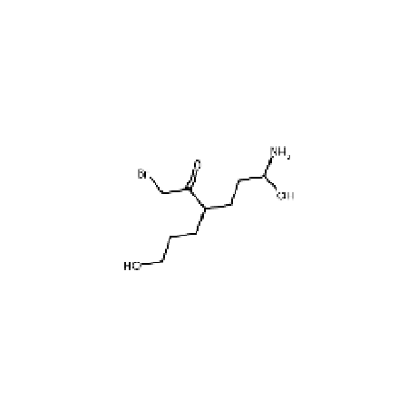 NC(O)CCC(CCCO)C(=O)CBr